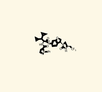 CC(C)n1nccc1C(=O)N[C@H](C(=O)Nc1ccc2c(c1)OC[C@H]2N1C[C@@H](CC(F)(F)F)NC1=O)C(C1CC1)C1CC1